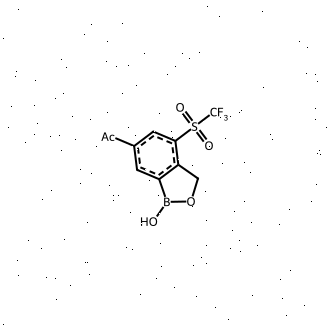 CC(=O)c1cc2c(c(S(=O)(=O)C(F)(F)F)c1)COB2O